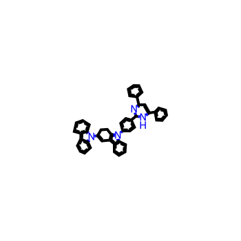 C1=C(c2ccccc2)NC(c2ccc(-n3c4c(c5ccccc53)C=C(n3c5ccccc5c5ccccc53)CC4)cc2)N=C1c1ccccc1